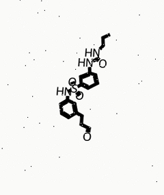 CCCNC(=O)Nc1cccc(S(=O)(=O)Nc2cccc(CCC=O)c2)c1